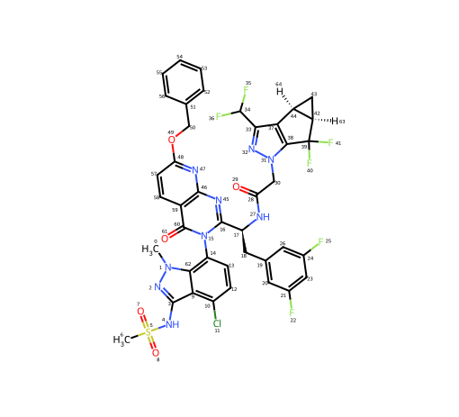 Cn1nc(NS(C)(=O)=O)c2c(Cl)ccc(-n3c([C@H](Cc4cc(F)cc(F)c4)NC(=O)Cn4nc(C(F)F)c5c4C(F)(F)[C@@H]4C[C@H]54)nc4nc(OCc5ccccc5)ccc4c3=O)c21